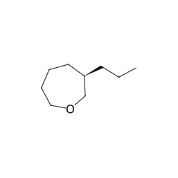 CCC[C@@H]1CCCCOC1